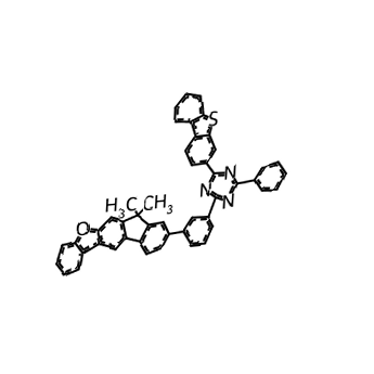 CC1(C)c2cc(-c3cccc(-c4nc(-c5ccccc5)nc(-c5ccc6c(c5)sc5ccccc56)n4)c3)ccc2-c2cc3c(cc21)oc1ccccc13